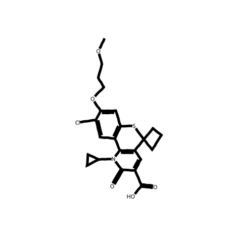 COCCCOc1cc2c(cc1Cl)-c1c(cc(C(=O)O)c(=O)n1C1CC1)C1(CCC1)S2